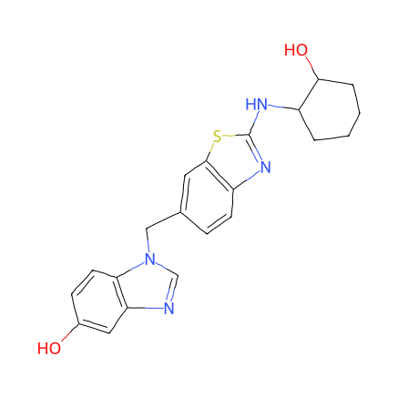 Oc1ccc2c(c1)ncn2Cc1ccc2nc(NC3CCCCC3O)sc2c1